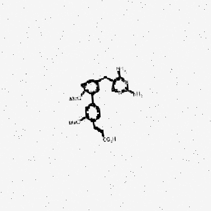 COc1cc(-c2cc(Cc3cnc(N)nc3N)ccc2OC)ccc1C=CC(=O)O